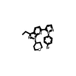 CCc1nn(C2CCOCC2)c2nc(-c3ccnn3-c3ccc(Br)cc3)ccc12